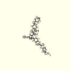 Cn1cnc(CC(=O)NCc2ccc(-n3nc(C(C)(C)C)cc3NC(=O)Nc3ccc(Oc4ccncc4)cc3)cc2)c1